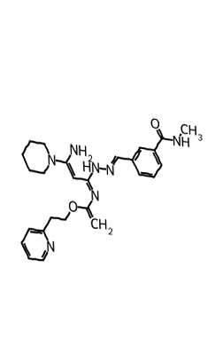 C=C(/N=C(\C=C(/N)N1CCCCC1)N/N=C/c1cccc(C(=O)NC)c1)OCCc1ccccn1